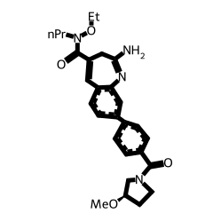 CCCN(OCC)C(=O)C1=Cc2ccc(-c3ccc(C(=O)N4CC[C@@H](OC)C4)cc3)cc2N=C(N)C1